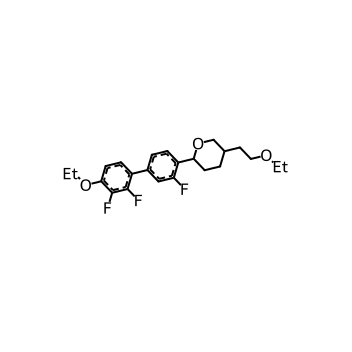 CCOCCC1CCC(c2ccc(-c3ccc(OCC)c(F)c3F)cc2F)OC1